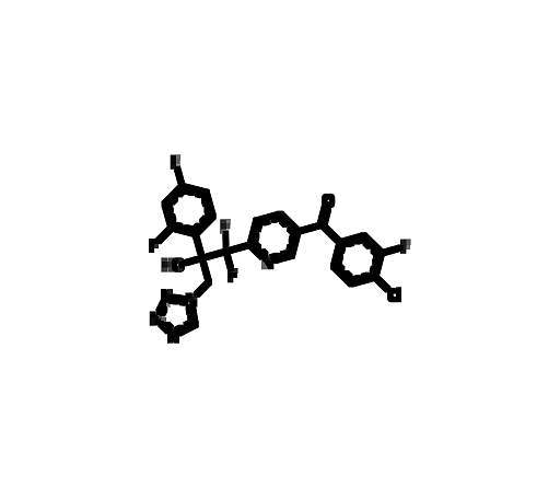 O=C(c1ccc(C(F)(F)C(O)(Cn2cnnn2)c2ccc(F)cc2F)nc1)c1ccc(Cl)c(F)c1